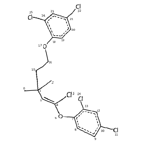 CC(C)(C=C(Cl)Oc1ccc(Cl)cc1Cl)CCOc1ccc(Cl)cc1Cl